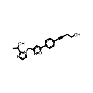 CC(O)c1nccn1Cc1cc(-c2ccc(C#CCCO)cc2)on1